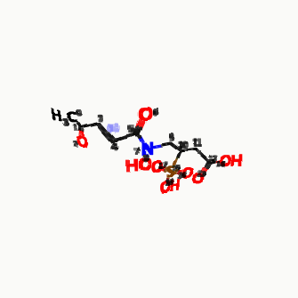 CC(=O)/C=C/C(=O)N(O)CC(CC(=O)O)S(=O)(=O)O